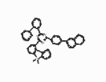 C[Si]1(C)c2ccccc2-c2c(-c3nc(-c4ccc(-c5ccc6ccccc6c5)cc4)nc(-c4ccccc4-c4ccccc4)n3)cccc21